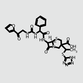 CC(Sc1nnn[nH]1)C1(C(=O)O)CS[C@@H]2C(NC(=O)C(NC(=O)NCC(=O)c3ccco3)c3ccccc3)C(=O)N2C1